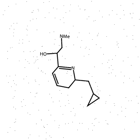 CNCC(O)C1=NC(CC2CC2)CC=C1